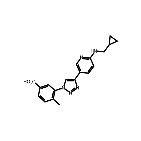 Cc1ccc(C(=O)O)cc1-n1cc(-c2ccc(NCC3CC3)nc2)nn1